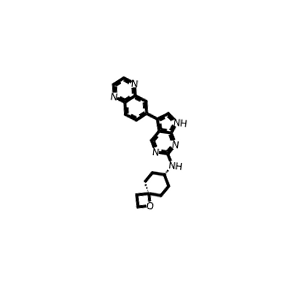 c1cnc2cc(-c3c[nH]c4nc(N[C@H]5CC[C@]6(CCO6)CC5)ncc34)ccc2n1